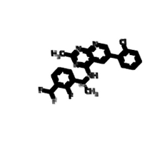 Cc1nc(N[C@H](C)c2cccc(C(F)F)c2F)c2cc(-c3ccccc3Cl)cnc2n1